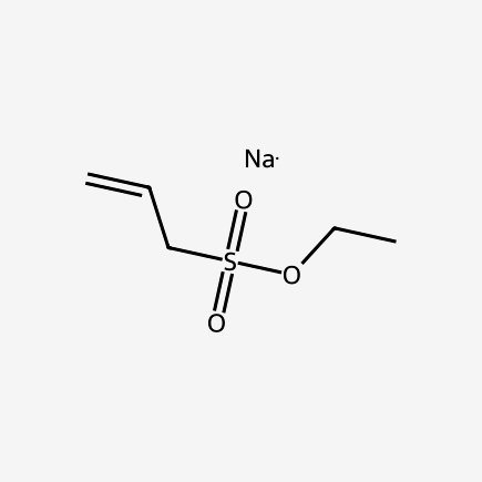 C=CCS(=O)(=O)OCC.[Na]